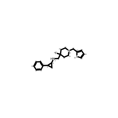 FC1(CNC2CC2c2ccccc2)CCN(Cc2cccs2)CC1